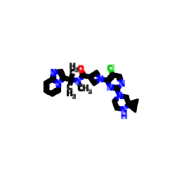 CN(C(=O)C1CN(c2nc(N3CCNC4(CC4)C3)ncc2Cl)C1)C(C)(C)c1cnc2ccccn12